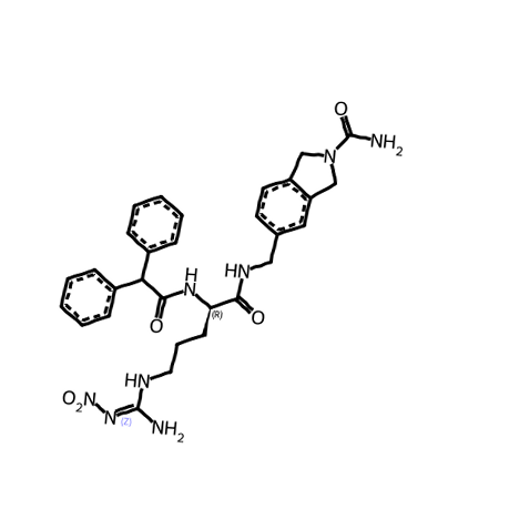 NC(=O)N1Cc2ccc(CNC(=O)[C@@H](CCCN/C(N)=N\[N+](=O)[O-])NC(=O)C(c3ccccc3)c3ccccc3)cc2C1